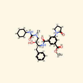 CCN(C[C@H](O)[C@H](Cc1ccccc1)NC(=O)c1cc(C(=O)OC(C)(C)C)cc(N2CCCC2=O)c1)C(=O)NC1CCCCC1